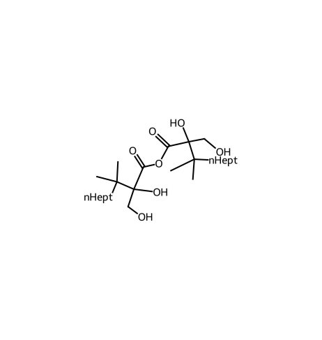 CCCCCCCC(C)(C)C(O)(CO)C(=O)OC(=O)C(O)(CO)C(C)(C)CCCCCCC